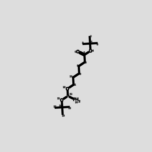 CC(C)(C)OC(=O)CCCCCOP(P)OC(C)(C)C